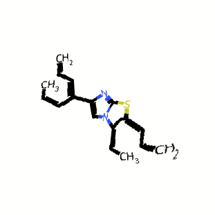 C=C/C=C(\C=C/C)c1cn2c(=C/C)/c(=C\C=C)sc2n1